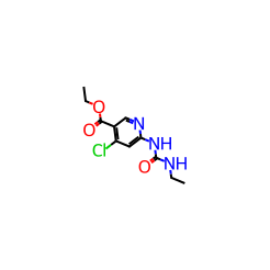 CCNC(=O)Nc1cc(Cl)c(C(=O)OCC)cn1